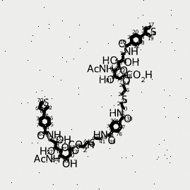 CC(=O)N[C@H]1[C@H]([C@H](O)[C@H](O)CNC(=O)c2ccc(-c3ccsc3)cc2)O[C@@](OCCCSCCNC(=O)c2ccc(C(=O)NCCSCCCO[C@]3(C(=O)O)C[C@H](O)[C@@H](NC(C)=O)[C@H]([C@H](O)[C@H](O)CNC(=O)c4ccc(-c5ccsc5)cc4)O3)cc2)(C(=O)O)C[C@@H]1O